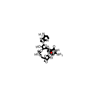 Nc1nc2c(ncn2[C@@H]2O[C@@]34COC3[C@@H]2OP(=O)(O)OC[C@H]2O[C@@H](n3cnc5c(N)ccnc53)[C@@H](O)C2OP(=O)(O)OC4)c(=O)[nH]1